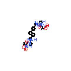 C=C(C)[C@H](NC(=O)OC)C(=O)N1CC=C[C@H]1c1ncc(-c2cccc3c(-c4ccc(-c5cnc([C@@H]6CCCN6C(=O)[C@@H](NC(=O)OC)C(C)C)[nH]5)cc4)cccc23)[nH]1